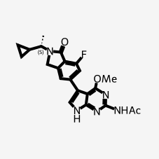 COc1nc(NC(C)=O)nc2[nH]cc(-c3cc(F)c4c(c3)CN([C@@H](C)C3CC3)C4=O)c12